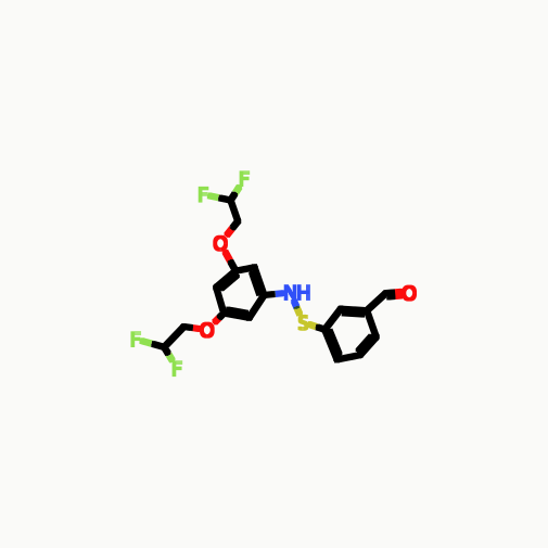 O=Cc1cccc(SNc2cc(OCC(F)F)cc(OCC(F)F)c2)c1